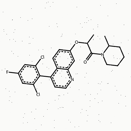 CC(Oc1ccc2c(-c3c(Cl)cc(F)cc3Cl)ccnc2c1)C(=O)N1CCCCC1C